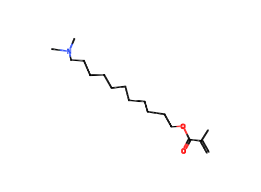 C=C(C)C(=O)OCCCCCCCCCCCN(C)C